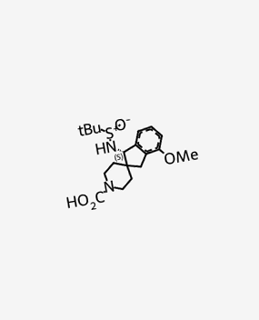 COc1cccc2c1CC1(CCN(C(=O)O)CC1)[C@@H]2N[S+]([O-])C(C)(C)C